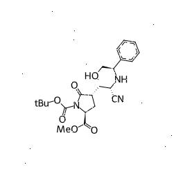 COC(=O)[C@@H]1C[C@@H](C[C@@H](C#N)N[C@@H](CO)c2ccccc2)C(=O)N1C(=O)OC(C)(C)C